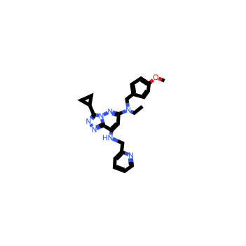 CCN(Cc1ccc(OC)cc1)c1cc(NCc2ccccn2)c2nnc(C3CC3)n2n1